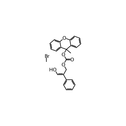 CBr.CC1(OC(=O)OCC(=CO)c2ccccc2)c2ccccc2Oc2ccccc21